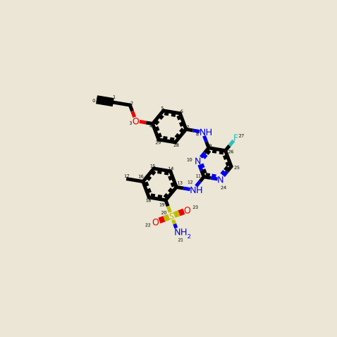 C#CCOc1ccc(Nc2nc(Nc3ccc(C)cc3S(N)(=O)=O)ncc2F)cc1